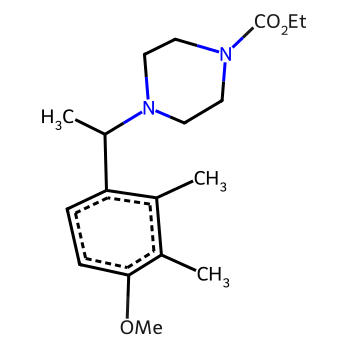 CCOC(=O)N1CCN(C(C)c2ccc(OC)c(C)c2C)CC1